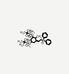 CC1/C(=C\CP(=O)(c2ccccc2)c2ccccc2)CC(O[Si](C)(C)C(C)(C)C)CC1O[Si](C)(C)C(C)(C)C